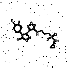 Cc1cc(-n2c(-c3nonc3NCCCS(=O)(=O)NC3CC3)noc2=O)ccc1F